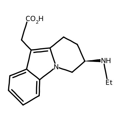 CCN[C@@H]1CCc2c(CC(=O)O)c3ccccc3n2C1